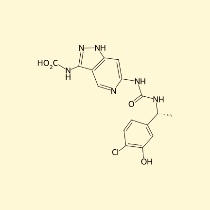 C[C@@H](NC(=O)Nc1cc2[nH]nc(NC(=O)O)c2cn1)c1ccc(Cl)c(O)c1